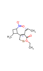 C/C=C\C(C(=O)OCC)=C(\CBr)C1C(C)CC1[N+](=O)[O-]